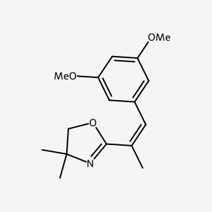 COc1cc(C=C(C)C2=NC(C)(C)CO2)cc(OC)c1